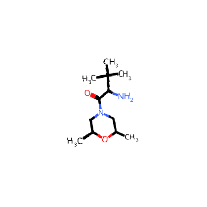 CC1CN(C(=O)C(N)C(C)(C)C)CC(C)O1